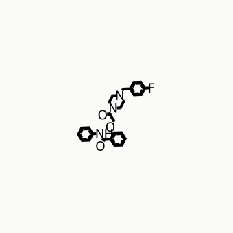 O=C(Nc1ccccc1)c1ccccc1OCC(=O)N1CCN(Cc2ccc(F)cc2)CC1